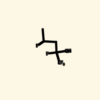 CC(F)CC(O)(F)C(F)(F)F